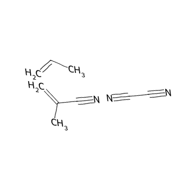 C=C(C)C#N.C=CC.N#CC#N